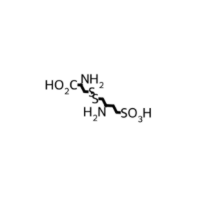 NC(CCS(=O)(=O)O)CSSCC(N)C(=O)O